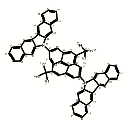 [2H]C([2H])([2H])c1cc2cc(-n3c4cc5ccccc5cc4c4cc5ccccc5cc43)cc3c(C([2H])([2H])[2H])cc4cc(-n5c6cc7ccccc7cc6c6cc7ccccc7cc65)cc1c4c23